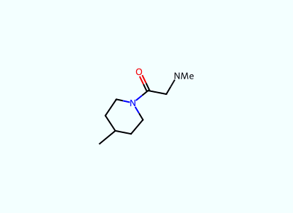 CNCC(=O)N1CCC(C)CC1